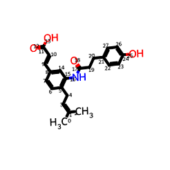 CC(C)=CCc1ccc(/C=C/C(=O)O)cc1NC(=O)CCc1ccc(O)cc1